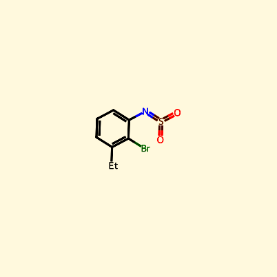 CCc1cccc(N=S(=O)=O)c1Br